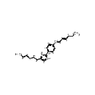 CCC/C=C/COc1ccc(-c2ncc(CCCCCC)s2)cc1